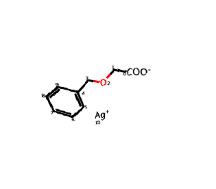 O=C([O-])COCc1ccccc1.[Ag+]